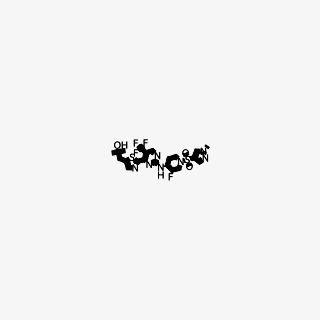 Cn1cc(S(=O)(=O)N2CC[C@@H](Nc3ncc(C(F)(F)F)c(-c4ncc(CC(C)(C)O)s4)n3)[C@H](F)C2)cn1